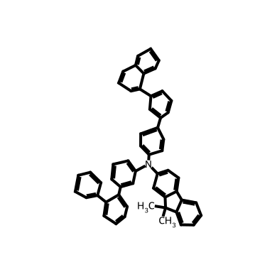 CC1(C)c2ccccc2-c2ccc(N(c3ccc(-c4cccc(-c5cccc6ccccc56)c4)cc3)c3cccc(-c4ccccc4-c4ccccc4)c3)cc21